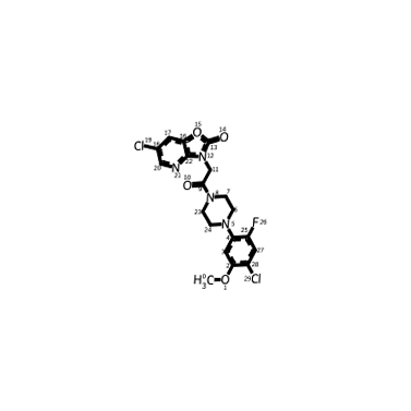 COc1cc(N2CCN(C(=O)Cn3c(=O)oc4cc(Cl)cnc43)CC2)c(F)cc1Cl